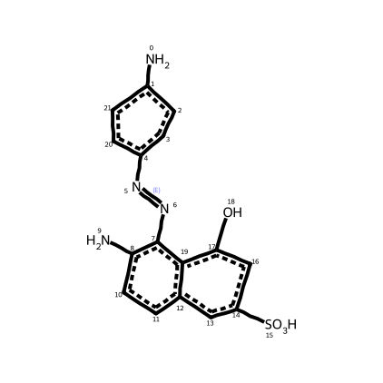 Nc1ccc(/N=N/c2c(N)ccc3cc(S(=O)(=O)O)cc(O)c23)cc1